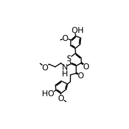 COCCCNc1sc(-c2ccc(O)c(OC)c2)cc(=O)c1C(=O)CCc1ccc(O)c(OC)c1